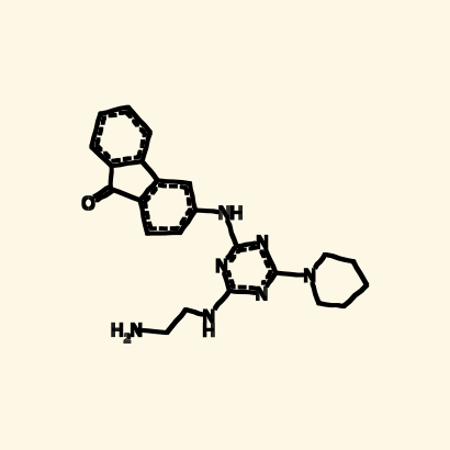 NCCNc1nc(Nc2ccc3c(c2)-c2ccccc2C3=O)nc(N2CCCCC2)n1